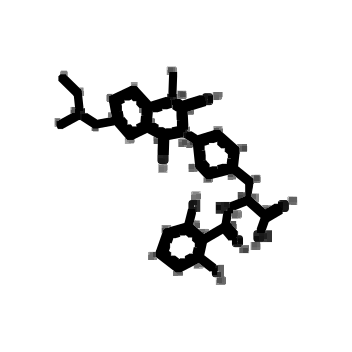 CCN(C)Cc1ccc2c(c1)c(=O)n(-c1ccc(C[C@H](NC(=O)c3c(Cl)cccc3Cl)C(=O)O)cc1)c(=O)n2C